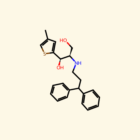 Cc1csc([C@H](O)[C@@H](CO)NCCC(c2ccccc2)c2ccccc2)c1